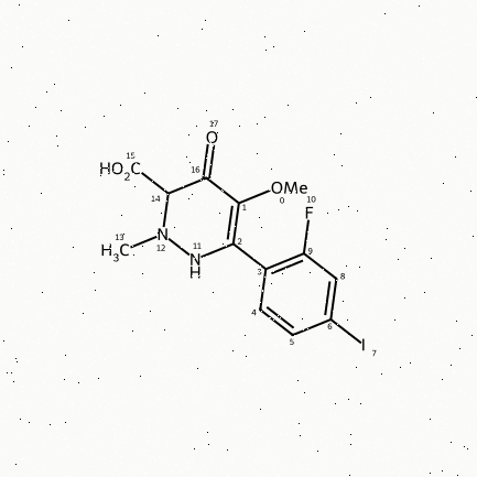 COC1=C(c2ccc(I)cc2F)NN(C)C(C(=O)O)C1=O